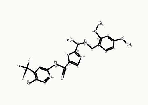 COc1ccc(CNC(C)c2ncc(C(=O)Nc3cc(C(F)(F)F)c(Cl)cn3)s2)c(OC)c1